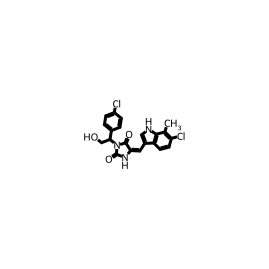 Cc1c(Cl)ccc2c(C=C3NC(=O)N(C(CO)c4ccc(Cl)cc4)C3=O)c[nH]c12